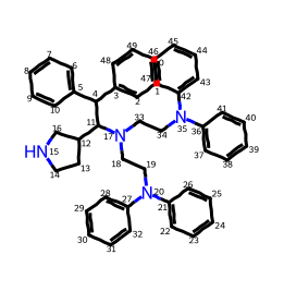 c1ccc(C(c2ccccc2)C(C2CCNC2)N(CCN(c2ccccc2)c2ccccc2)CCN(c2ccccc2)c2ccccc2)cc1